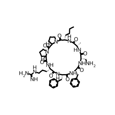 CCCC[C@@H]1NC(=O)[C@H](C)NC(=O)[C@H](CN)NC(=O)[C@H](Cc2ccccc2)NC(=O)[C@H](Cc2ccccc2)NC(=O)[C@H](CCCNC(=N)N)NC(=O)[C@@H]2CCCN2C(=O)[C@H]2CCCN2C1=O